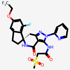 CS(=O)(=O)CC(=O)Nc1c2c(nn1-c1ccccn1)C[C@@]1(CCc3cc(OCC(F)(F)F)cc(F)c31)NC2=O